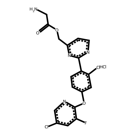 Cl.NCC(=O)OCc1ccnc(-c2ccc(Oc3ncc(Cl)cc3F)cc2Cl)n1